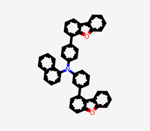 c1cc(-c2cccc3oc4ccccc4c23)cc(N(c2ccc(-c3cccc4c3oc3ccccc34)cc2)c2cccc3ccccc23)c1